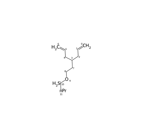 C=CCC(CC=C)CCO[SiH2]CCC